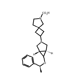 C[C@H](OC1[C@@H]2CN(C3CC4(CCN(C(=O)O)C4)C3)C[C@@H]12)c1ccccc1